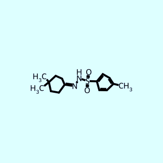 Cc1ccc(S(=O)(=O)NN=C2CCC(C)(C)CC2)cc1